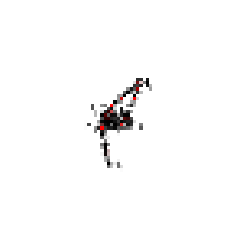 CCCCCCCCCCCCC(C)(C)C(O)CC(C(=O)O)C(O)(C(=O)O)C(CC(O)C(C)(C)CCCCCCCCCCCC)(CC(O)C(C)(C)CCCCCCCCCCCC)C(=O)O